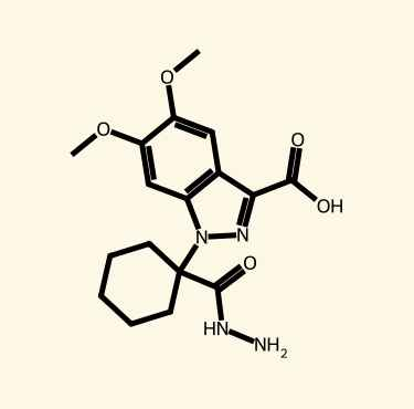 COc1cc2c(C(=O)O)nn(C3(C(=O)NN)CCCCC3)c2cc1OC